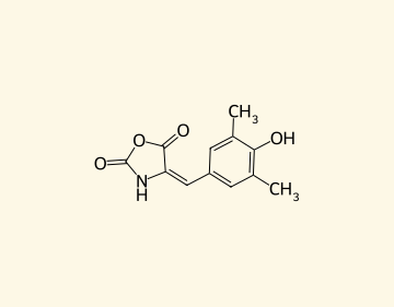 Cc1cc(C=C2NC(=O)OC2=O)cc(C)c1O